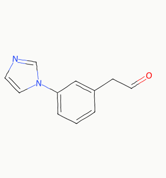 O=CCc1cccc(-n2ccnc2)c1